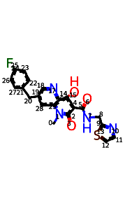 Cn1c(=O)c(C(=O)NCc2nccs2)c(O)c2ncc(Cc3ccc(F)cc3)cc21